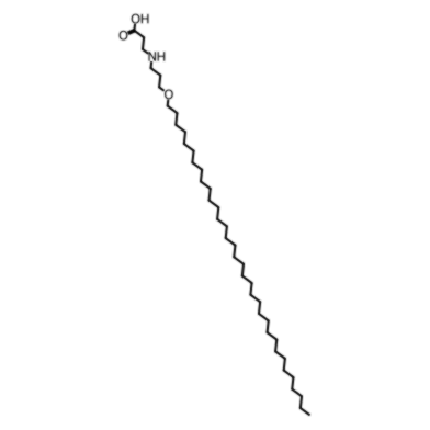 CCCCCCCCCCCCCCCCCCCCCCCCCCCCCCCCCCOCCCNCCC(=O)O